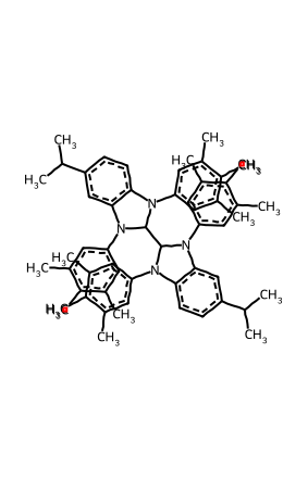 Cc1cc(N2c3ccc(C(C)C)cc3N(c3cc(C)c(C)c(C)c3)C2C2N(c3cc(C)c(C)c(C)c3)c3ccc(C(C)C)cc3N2c2cc(C)c(C)c(C)c2)cc(C)c1C